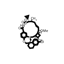 CO[C@H]1/C=C/C[C@H](C)[C@@H](C2CC2)S(=O)(=O)NC(=O)c2ccc3c(c2)N(C[C@H]2[C@H]1C[C@H]2C)C[C@@]1(CCCc2cc(Cl)ccc21)CO3